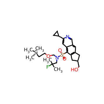 CC(C)(F)CN(COCC[Si](C)(C)C)S(=O)(=O)c1c2c(cc3cnc(C4CC4)cc13)CC(CO)C2